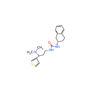 CN(C)C(CCNC(=O)N[C@@H]1CCc2ccccc2C1)c1ccsc1